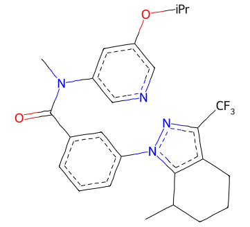 CC(C)Oc1cncc(N(C)C(=O)c2cccc(-n3nc(C(F)(F)F)c4c3C(C)CCC4)c2)c1